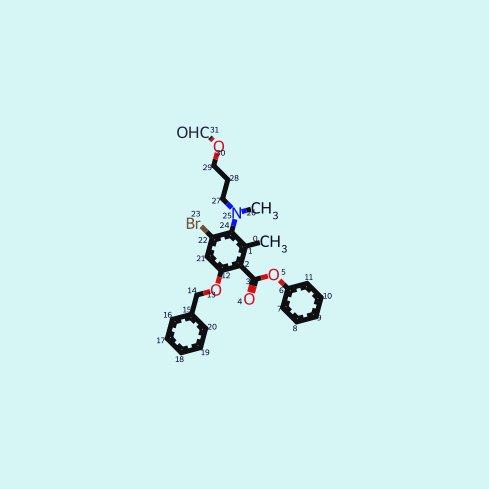 Cc1c(C(=O)Oc2ccccc2)c(OCc2ccccc2)cc(Br)c1N(C)CCCOC=O